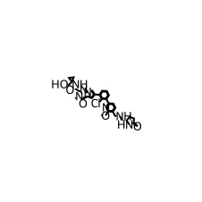 COc1nc(-c2cccc(-c3cc4c(=O)n(C)c(CNC5(C(=O)O)CC5)nn4c3)c2Cl)ccc1CNC[C@@H]1CCC(=O)N1